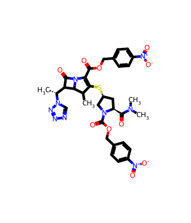 CC1C(S[C@H]2C[C@@H](C(=O)N(C)C)N(C(=O)OCc3ccc([N+](=O)[O-])cc3)C2)=C(C(=O)OCc2ccc([N+](=O)[O-])cc2)N2C(=O)C([C@@H](C)n3cnnn3)C12